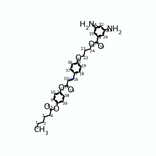 CCCCCC(=O)Oc1ccc(OC(=O)/C=C/c2ccc(OCCCOC(=O)c3cc(N)cc(N)c3)cc2)cc1